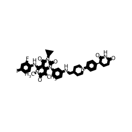 Cc1c(=O)n(C)c(Nc2ccc(I)cc2F)c2c(=O)n(C3CC3)c(=O)n(-c3cccc(NCC4CCN(c5ccc([C@@H]6CCC(=O)NC6=O)cc5)CC4)c3)c12